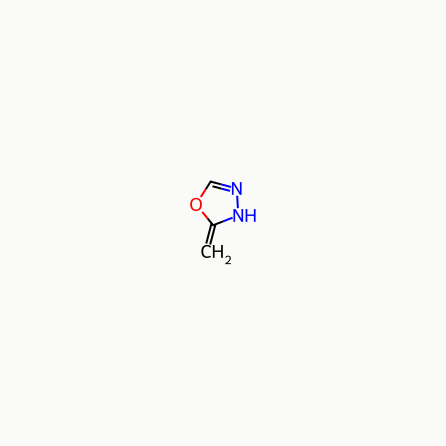 C=C1NN=CO1